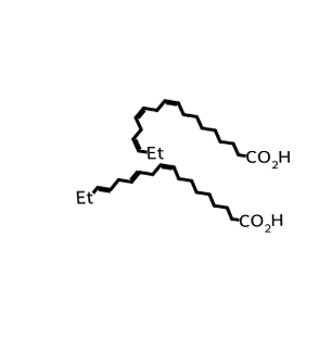 CC/C=C\C/C=C\C/C=C\CCCCCCCC(=O)O.CCC=CCC=CC/C=C\CCCCCCCC(=O)O